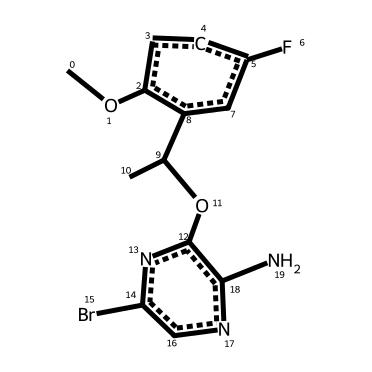 COc1ccc(F)cc1C(C)Oc1nc(Br)cnc1N